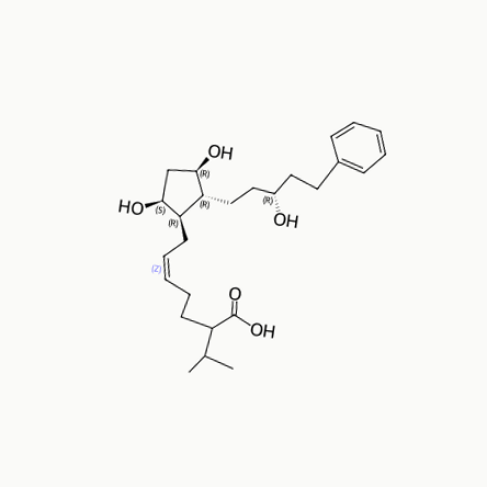 CC(C)C(CC/C=C\C[C@@H]1[C@@H](CC[C@@H](O)CCc2ccccc2)[C@H](O)C[C@@H]1O)C(=O)O